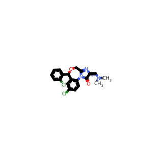 CN(C)/C=C1/N=C2COC(c3ccccc3Cl)c3cc(Cl)ccc3N2C1=O